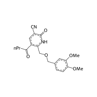 CCCC(=O)c1cc(C#N)c(=O)[nH]c1COCc1ccc(OC)c(OC)c1